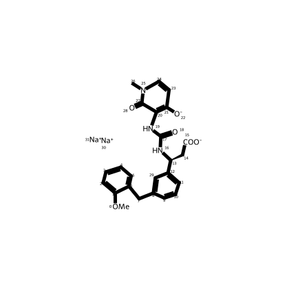 COc1ccccc1Cc1cccc([C@H](CC(=O)[O-])NC(=O)Nc2c([O-])ccn(C)c2=O)c1.[Na+].[Na+]